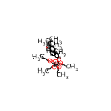 CCCCOCC1O[C@H](O[C@H]2CC[C@@]3(C)C(=CC[C@H]4[C@@H]5CC[C@H]([C@H](C)CC)[C@@]5(C)CC[C@@H]43)C2)C(OCCCC)[C@@H](OCCCC)[C@@H]1OCCCC